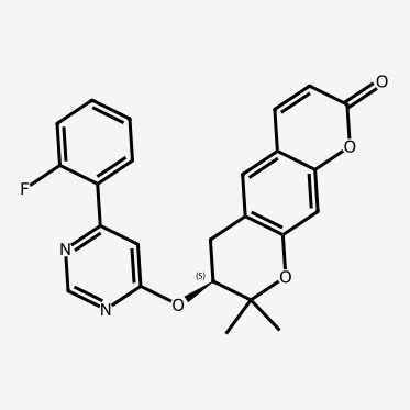 CC1(C)Oc2cc3oc(=O)ccc3cc2C[C@@H]1Oc1cc(-c2ccccc2F)ncn1